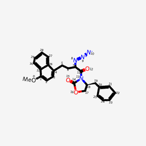 COc1ccc(CCC(N=[N+]=[N-])C(=O)N2C(=O)OC[C@@H]2Cc2ccccc2)c2ccccc12